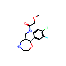 COCC(=O)NC[C@@H]1CNCCO[C@H]1c1ccc(Cl)c(F)c1